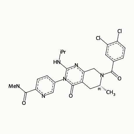 CNC(=O)c1ccc(-n2c(NC(C)C)nc3c(c2=O)C[C@@H](C)N(C(=O)c2ccc(Cl)c(Cl)c2)C3)cn1